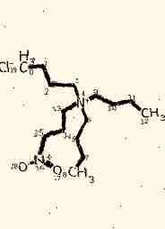 CCCC[N+](CCCC)(CCCC)CCC[N+](=O)[O-].[Cl-]